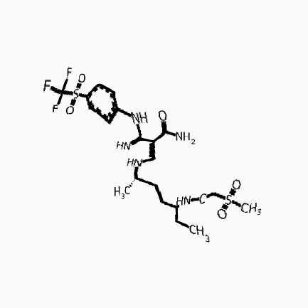 CCC(CC[C@H](C)N/C=C(\C(=N)Nc1ccc(S(=O)(=O)C(F)(F)F)cc1)C(N)=O)NCCS(C)(=O)=O